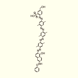 Cc1cc(N=Nc2cc(C)c(N=Nc3ccc4cc(NOc5ccccc5)ccc4c3O)cc2C)c(C)cc1N=Nc1cc(C)c(N=Nc2ccc(CO)cc2S(=O)(=O)O)cc1C